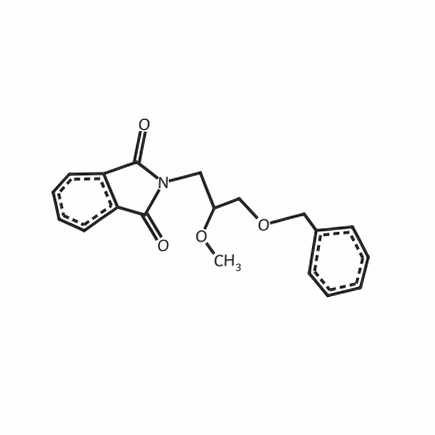 COC(COCc1ccccc1)CN1C(=O)c2ccccc2C1=O